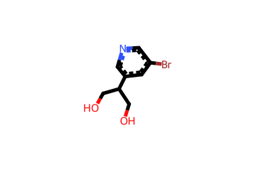 OCC(CO)c1cncc(Br)c1